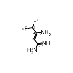 N=C(N)/C=C(\N)C(F)F